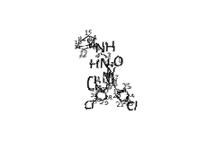 O=C(NCCNC1C2CC3CC(C2)CC1C3)n1cc(-c2ccc(Cl)cc2)c(-c2ccc(Cl)cc2Cl)n1